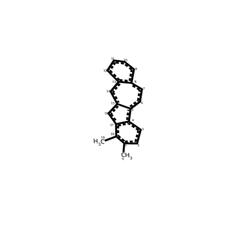 Cc1ccc2c3ccc4ccccc4cc-3cc2c1C